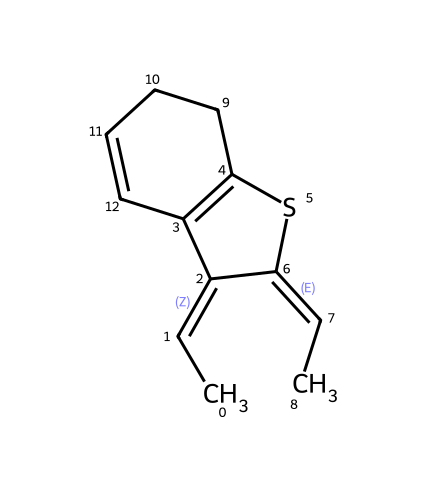 C/C=c1/c2c(s/c1=C/C)CCC=C2